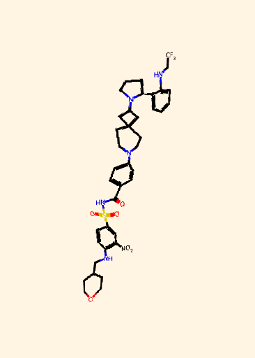 O=C(NS(=O)(=O)c1ccc(NCC2CCOCC2)c([N+](=O)[O-])c1)c1ccc(N2CCC3(CC2)CC(N2CCC[C@H]2c2ccccc2NCC(F)(F)F)C3)cc1